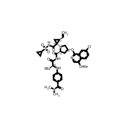 C=C[C@@H]1C[C@@]1(C(=O)NS(=O)(=O)C1CC1)N1C[C@H](Oc2ncc(OC)c3ccc(Cl)cc23)C[C@H]1C(=O)NC(=O)[C@@H](Nc1ccc(C(=O)N(C)C)cc1)C(C)(C)C